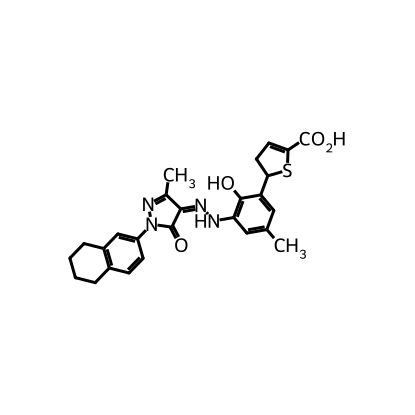 CC1=NN(c2ccc3c(c2)CCCC3)C(=O)/C1=N\Nc1cc(C)cc(C2CC=C(C(=O)O)S2)c1O